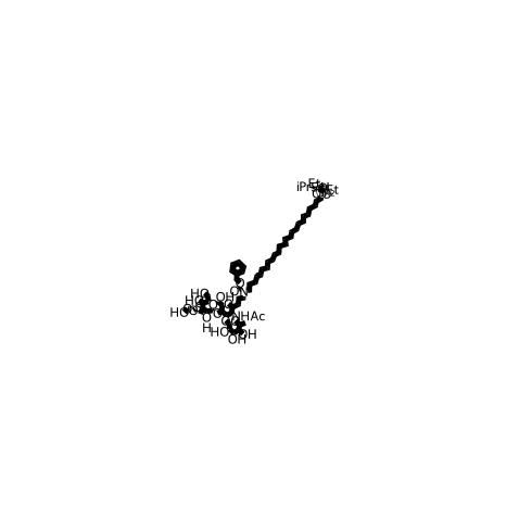 CCO[Si](CCCCCCCCCCCCCCCCCCCC/C=C/CCCN(CCCC1OC(CO)C(OC2OC(CO)C(O)C(C)(SOOO)C2O)C(OC2OC(C)C(O)C(O)C2O)C1NC(C)=O)C(=O)OCc1ccccc1)(OCC)O[SiH2]C(C)C